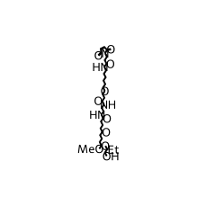 CCC(CO)OC(CCCC(=O)CCCC(=O)NCCNC(=O)CCOCCCCCCNC(=O)CCN1C(=O)C=CC1=O)OC